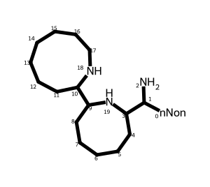 CCCCCCCCCC(N)C1CCCCCC(C2CCCCCCCN2)N1